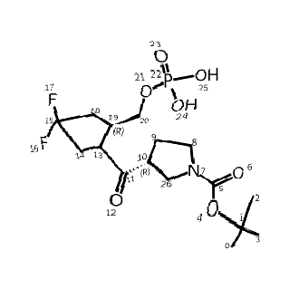 CC(C)(C)OC(=O)N1CC[C@@H](C(=O)C2CC(F)(F)C[C@H]2COP(=O)(O)O)C1